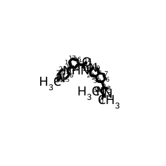 Cc1ncc(-c2ccc3cnc(NC(=O)c4cccc(N5CCN(C)CC5)c4)cc3c2)n1C